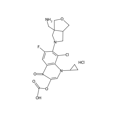 Cl.NCC12COCC1CN(c1c(F)cc3c(=O)c(OC(=O)O)cn(C4CC4)c3c1Cl)C2